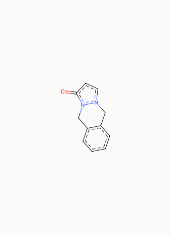 O=c1ccn2n1Cc1ccccc1C2